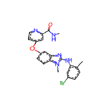 CNC(=O)c1cc(Oc2ccc3c(c2)nc(Nc2cc(Br)ccc2C)n3C)ccn1